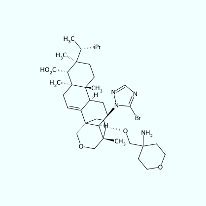 CC(C)[C@@H](C)[C@@]1(C)CC[C@]2(C)[C@H]3CC[C@@H]4[C@@]5(COC[C@@]4(C)[C@@H](OCC4(N)CCOCC4)[C@H](n4ncnc4Br)C5)C3=CC[C@@]2(C)[C@@H]1C(=O)O